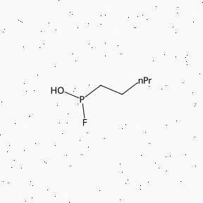 CCCCCP(O)F